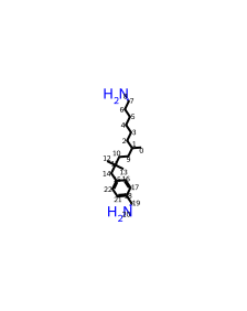 CC(CCCCCCN)CCC(C)(C)Cc1ccc(CN)cc1